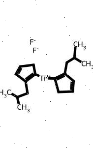 CC(C)CC1=[C]([Ti+2][C]2=C(CC(C)C)C=CC2)CC=C1.[F-].[F-]